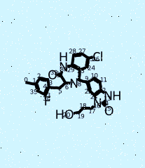 Cc1ccc(CC2N=C(c3ccc4[nH]c(=O)n(CCCO)c4c3)c3cc(Cl)ccc3NC2=O)c(F)c1